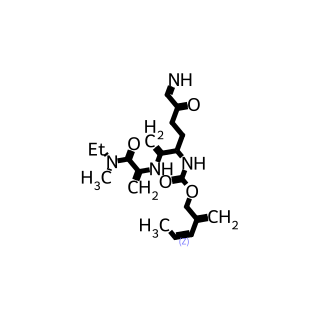 C=C(/C=C\C)COC(=O)NC(CCC(=O)C=N)C(=C)NC(=C)C(=O)N(C)CC